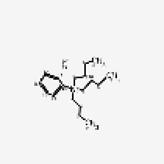 CCCC[N+](CCCC)(CCCC)c1ccccc1.[F-]